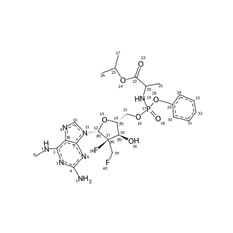 CNc1nc(N)nc2c1ncn2[C@@H]1O[C@H](COP(=O)(NC(C)C(=O)OC(C)C)Oc2ccccc2)[C@@H](O)[C@]1(F)CF